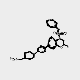 CCC1CN(S(=O)(=O)Cc2ccccc2)c2ccc(-c3ccc(C4CCC(CC(=O)O)CC4)cc3)cc2O1